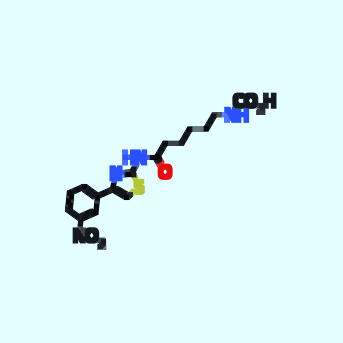 O=C(O)NCCCCCC(=O)Nc1nc(-c2cccc([N+](=O)[O-])c2)cs1